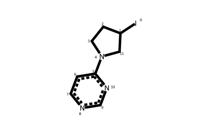 IC1CCN(c2ccncn2)C1